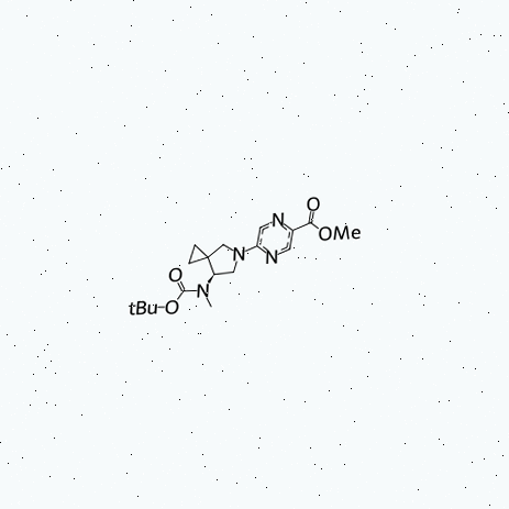 COC(=O)c1cnc(N2C[C@@H](N(C)C(=O)OC(C)(C)C)C3(CC3)C2)cn1